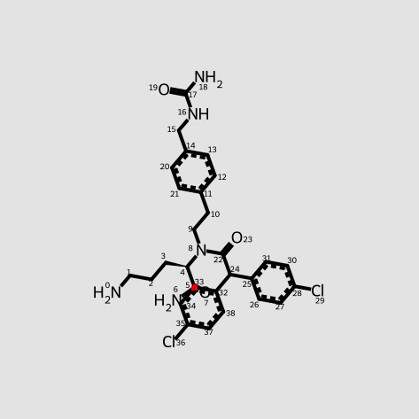 NCCC[C@H](C(N)=O)N(CCc1ccc(CNC(N)=O)cc1)C(=O)C(c1ccc(Cl)cc1)c1ccc(Cl)cc1